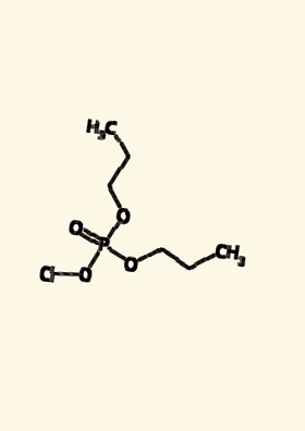 CCCOP(=O)(OCl)OCCC